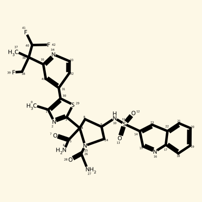 Cc1nc(C2(C(N)=O)CC(NS(=O)(=O)c3cnc4ccccc4c3)CN2C(N)=O)sc1-c1ccnc(C(C)(CF)C(F)F)c1